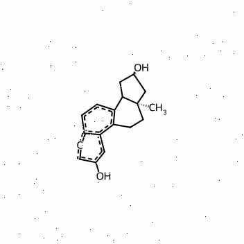 C[C@]12CCc3c(ccc4ccc(O)cc34)C1C[C@@H](O)C2